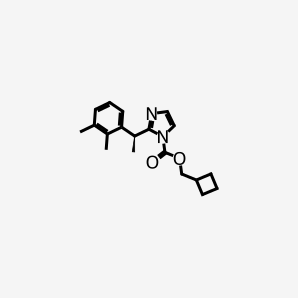 Cc1cccc([C@H](C)c2nccn2C(=O)OCC2CCC2)c1C